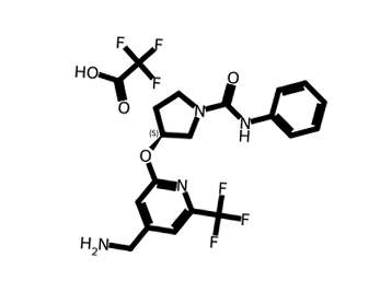 NCc1cc(O[C@H]2CCN(C(=O)Nc3ccccc3)C2)nc(C(F)(F)F)c1.O=C(O)C(F)(F)F